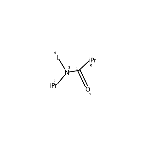 CC(C)C(=O)N(I)C(C)C